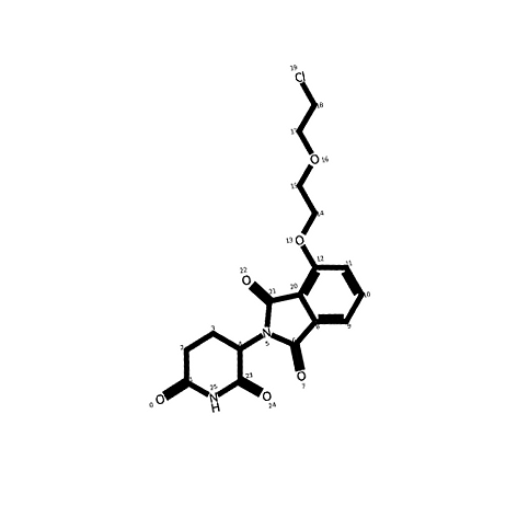 O=C1CCC(N2C(=O)c3cccc(OCCOCCCl)c3C2=O)C(=O)N1